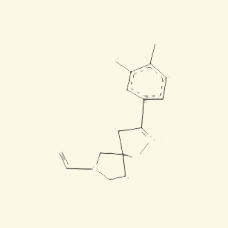 C=CN1CCC2(CC(c3ccc(C)c(C)c3)=NO2)C1